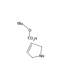 C1=CCNC1.CC(C)(C)OC(=O)O